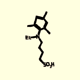 CCN(CCCCS(=O)(=O)O)c1c(C)cc(C)cc1C